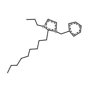 CCCCCCCCCc1n(Cc2ccccc2)cc[n+]1CCC